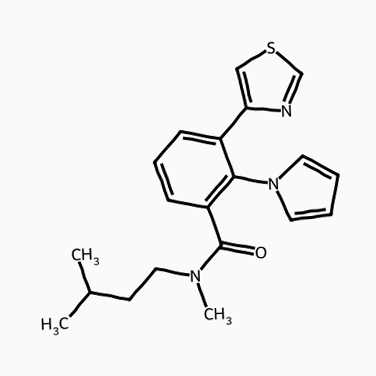 CC(C)CCN(C)C(=O)c1cccc(-c2cscn2)c1-n1cccc1